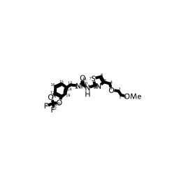 COCCOCc1csc(NC(=O)NCc2ccc3c(c2)OC(F)(F)O3)n1